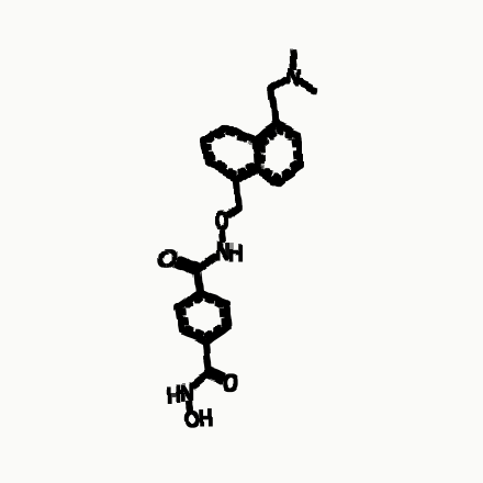 CN(C)Cc1cccc2c(CONC(=O)c3ccc(C(=O)NO)cc3)cccc12